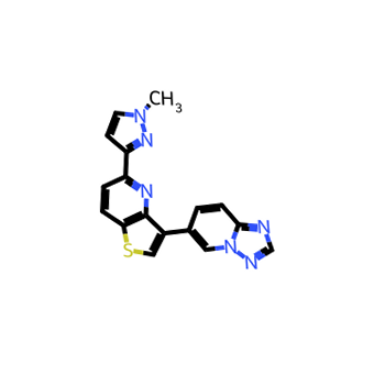 Cn1ccc(-c2ccc3scc(-c4ccc5ncnn5c4)c3n2)n1